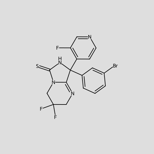 Fc1cnccc1C1(c2cccc(Br)c2)NC(=S)N2CC(F)(F)CN=C21